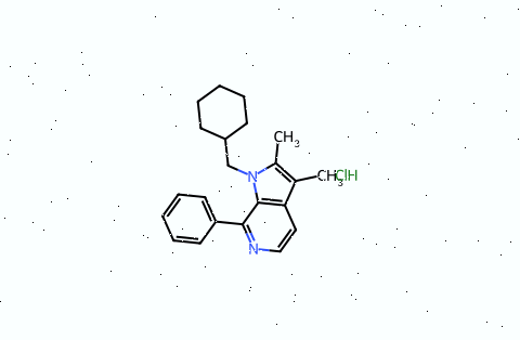 Cc1c(C)n(CC2CCCCC2)c2c(-c3ccccc3)nccc12.Cl